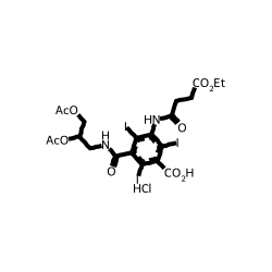 CCOC(=O)CCC(=O)Nc1c(I)c(C(=O)O)c(I)c(C(=O)NCC(COC(C)=O)OC(C)=O)c1I.Cl